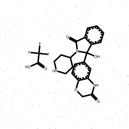 O=C(O)C(F)(F)F.O=C1COc2ccc(C3(O)c4ccccc4C(=O)N3C3CCNCC3)cc2N1